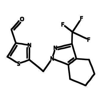 O=Cc1csc(Cn2nc(C(F)(F)F)c3c2CCCC3)n1